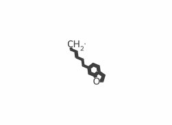 [CH2]CC=CCCc1ccc2ccoc2c1